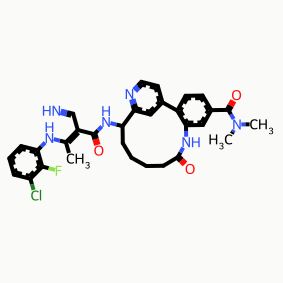 C/C(Nc1cccc(Cl)c1F)=C(/C=N)C(=O)NC1CCCCC(=O)Nc2cc(C(=O)N(C)C)ccc2-c2ccnc1c2